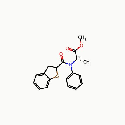 COC(=O)[C@H](C)N(C(=O)C1Cc2ccccc2S1)c1ccccc1